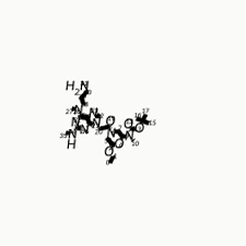 CCOC(=O)CN(CCN(C)C(=O)OC(C)(C)C)C(=O)Cn1cnc2c(N(C)CCCN)nc(NC)nc21